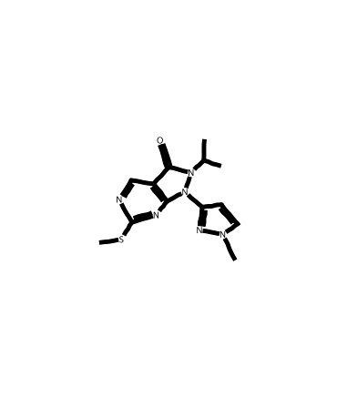 CSc1ncc2c(=O)n(C(C)C)n(-c3ccn(C)n3)c2n1